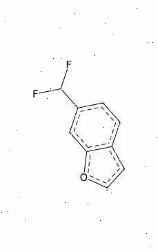 FC(F)c1ccc2c[c]oc2c1